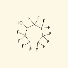 OC1C(F)(F)C(F)(F)C(F)(F)C(F)(F)C(F)(F)C1(F)F